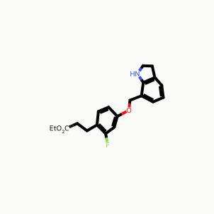 CCOC(=O)CCc1ccc(OCc2cccc3c2NCC3)cc1F